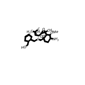 COC1C(N)CCC(O)(CSCC2CC=CCC2CO)C1C1(C)OC1CC=C(C)C